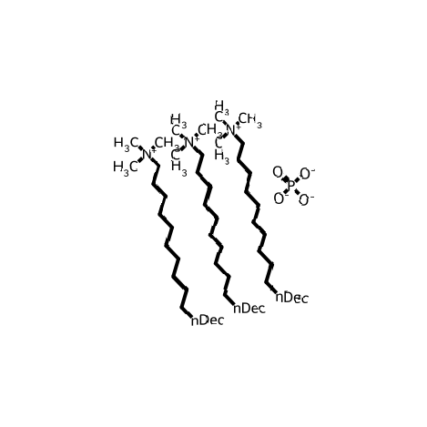 CCCCCCCCCCCCCCCCCCCC[N+](C)(C)C.CCCCCCCCCCCCCCCCCCCC[N+](C)(C)C.CCCCCCCCCCCCCCCCCCCC[N+](C)(C)C.O=P([O-])([O-])[O-]